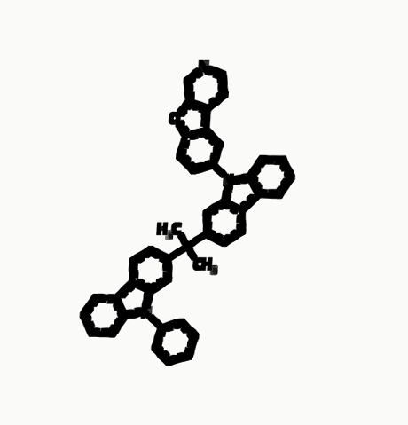 CC(C)(c1ccc2c3ccccc3n(-c3ccccc3)c2c1)c1ccc2c3ccccc3n(-c3ccc4oc5cnccc5c4c3)c2c1